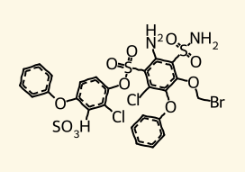 Nc1c(S(N)(=O)=O)c(OCBr)c(Oc2ccccc2)c(Cl)c1S(=O)(=O)Oc1ccc(Oc2ccccc2)c(S(=O)(=O)O)c1Cl